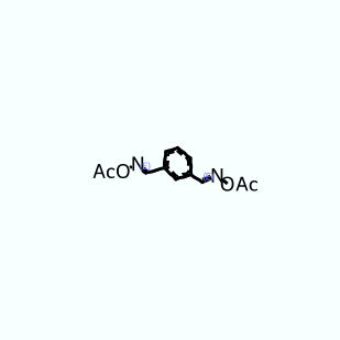 CC(=O)O/N=C/c1cccc(/C=N/OC(C)=O)c1